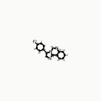 Fc1ccc(-c2cnc3c4ccccc4ncn23)cc1